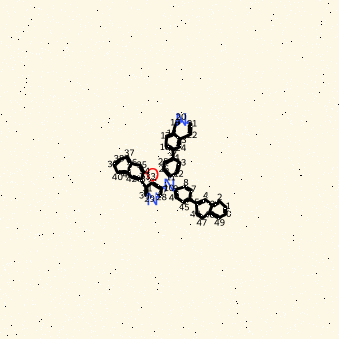 c1ccc2cc(-c3ccc(N(c4ccc(-c5ccc6cnccc6c5)cc4)c4cncc5c4oc4cc6ccccc6cc45)cc3)ccc2c1